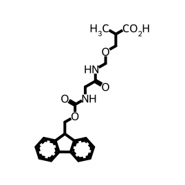 CC(COCNC(=O)CNC(=O)OCC1c2ccccc2-c2ccccc21)C(=O)O